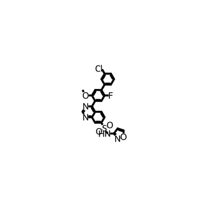 COc1cc(-c2cccc(Cl)c2)c(F)cc1-c1ncnc2cc(S(=O)(=O)Nc3ccon3)ccc12